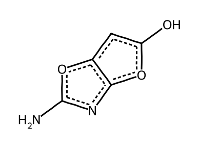 Nc1nc2oc(O)cc2o1